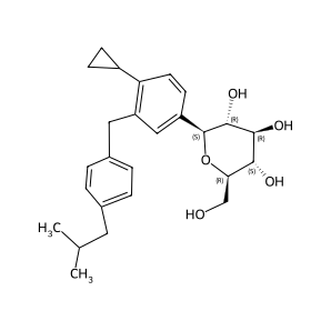 CC(C)Cc1ccc(Cc2cc([C@@H]3O[C@H](CO)[C@@H](O)[C@H](O)[C@H]3O)ccc2C2CC2)cc1